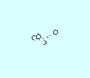 Cc1ccc(C(NC(=O)COc2ccccc2)c2cc(Cl)c3cccnc3c2O)o1